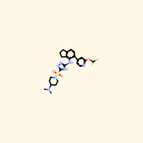 CN(C)C1CCN(S(=O)(=O)c2nnc(Nc3c(-c4ccnc(OC(F)F)c4)ccc4c3CCC4)[nH]2)CC1